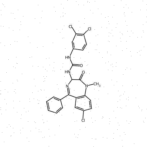 CN1C(=O)C(NC(=O)Nc2ccc(Cl)c(Cl)c2)N=C(c2ccccc2)c2cc(Cl)ccc21